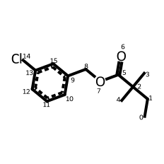 CCC(C)(C)C(=O)OCc1cccc(Cl)c1